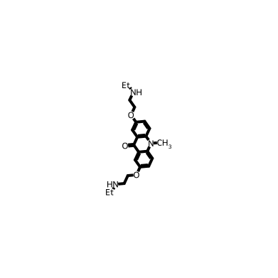 CCNCCOc1ccc2c(c1)c(=O)c1cc(OCCNCC)ccc1n2C